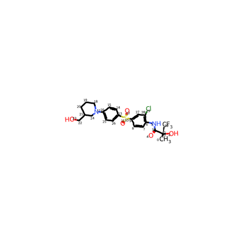 C[C@@](O)(C(=O)Nc1ccc(S(=O)(=O)c2ccc(N3CCCC(CO)C3)cc2)cc1Cl)C(F)(F)F